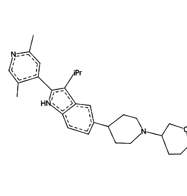 Cc1cc(-c2[nH]c3ccc(C4CCN(C5CCCOC5)CC4)cc3c2C(C)C)c(C)cn1